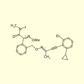 CCc1cccc(C2CC2)c1C#C/C(C)=N/OCc1ccccc1/C(=N\OC)C(=O)N(C)I